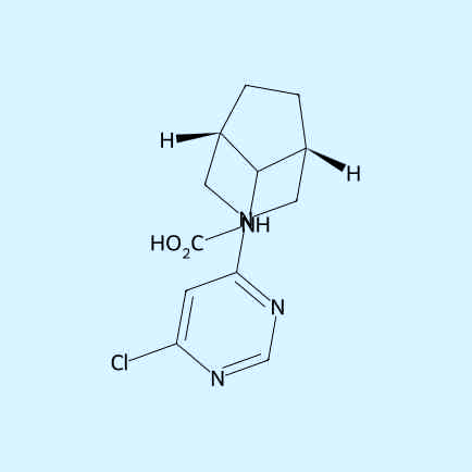 O=C(O)NC1[C@@H]2CC[C@H]1CN(c1cc(Cl)ncn1)C2